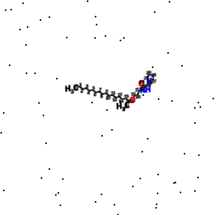 CCCCCCCCCCCCCCCCC(C)OCCCNC(=O)CN1CCCC1